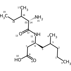 CCCC(C)C[C@@H](CC(=O)O)NC(=O)[C@@H](N)C(C)CC